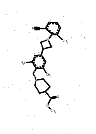 COC(=O)C1CCN(Cc2c(C)cc(C3CN(c4c(C)cccc4C#N)C3)cc2C)CC1